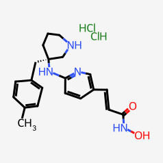 Cc1ccc(C[C@]2(Nc3ccc(/C=C/C(=O)NO)cn3)CCCNC2)cc1.Cl.Cl